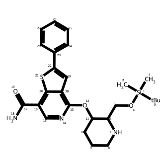 CC(C)(C)[Si](C)(C)OCC1NCCCC1Oc1ncc(C(N)=O)c2sc(-c3ccccc3)cc12